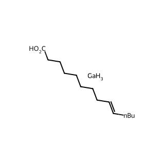 CCCCC=CCCCCCCCC(=O)O.[GaH3]